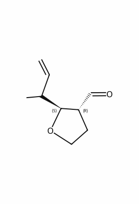 C=CC(C)[C@@H]1OCC[C@H]1C=O